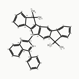 CC1(C)c2ccccc2-c2cc3c4c(n(-c5nc(-c6ccccc6)c6ccccc6n5)c3cc21)-c1ccccc1C4(C)C